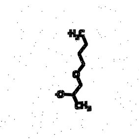 [CH2]CCCOCC(C)[O]